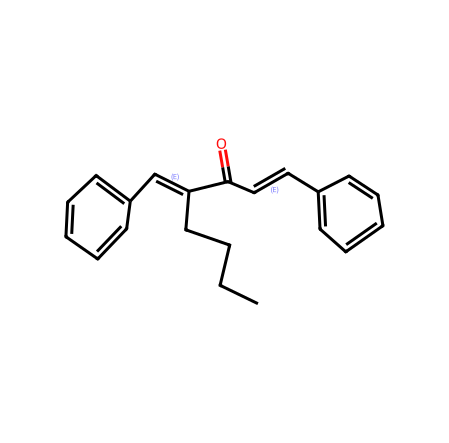 CCCC/C(=C\c1ccccc1)C(=O)/C=C/c1ccccc1